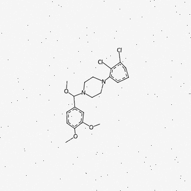 COc1ccc(C(OC)N2CCN(c3cccc(Cl)c3Cl)CC2)cc1OC